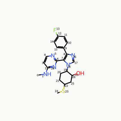 CNc1ccnc(-c2c(-c3ccc(F)cc3)ncn2C2CCC(SC)CC2O)n1